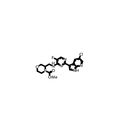 COC(=O)N1CCOCC1CNc1nc(-c2c[nH]c3ncc(Cl)cc23)ncc1F